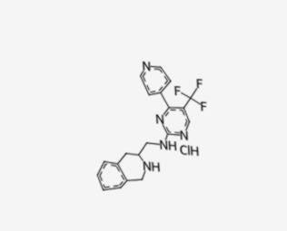 Cl.FC(F)(F)c1cnc(NCC2Cc3ccccc3CN2)nc1-c1ccncc1